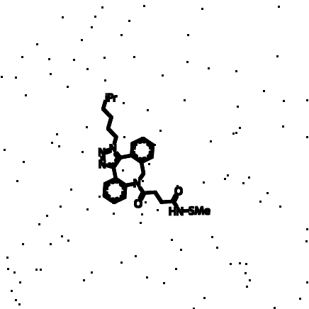 CSNC(=O)CCC(=O)N1Cc2ccccc2-c2c(nnn2CCCCC(C)C)-c2ccccc21